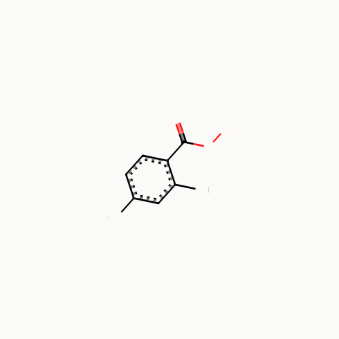 Cc1ccc(C(=O)OO)c(C)c1